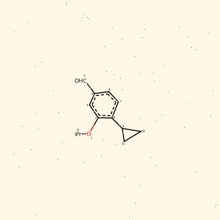 CC(C)Oc1cc(C=O)ccc1C1CC1